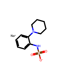 O=S(=O)([O-])Nc1ccccc1N1CCCCC1.[Na+]